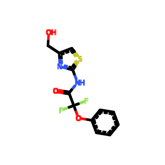 O=C(Nc1nc(CO)cs1)C(F)(F)Oc1ccccc1